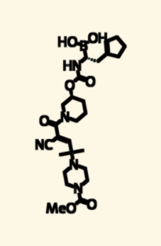 COC(=O)N1CCN(C(C)(C)/C=C(\C#N)C(=O)N2CCC[C@H](OC(=O)N[C@@H](CC3=CCCC3)B(O)O)C2)CC1